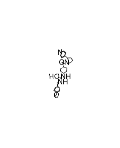 COc1ccc(CNC(O)NC2CCC(C(=O)N3CCCC3c3ccncc3)CC2)cc1